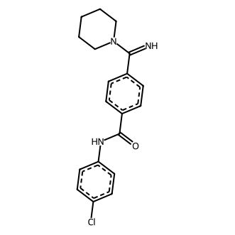 N=C(c1ccc(C(=O)Nc2ccc(Cl)cc2)cc1)N1CCCCC1